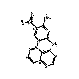 NC1=NC(N)N(c2cccc3ccccc23)C=C1[N+](=O)[O-]